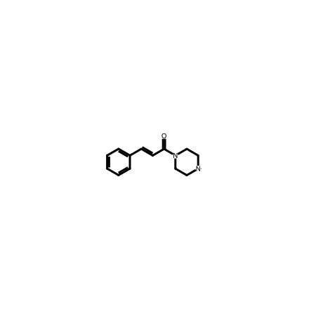 O=C(C=Cc1ccccc1)N1CC[N]CC1